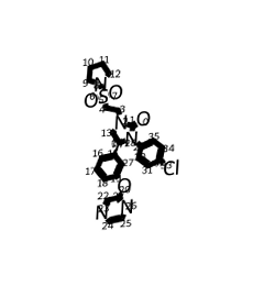 O=C1N(CCS(=O)(=O)N2CCCC2)C[C@H](c2cccc(Oc3cnccn3)c2)N1c1ccc(Cl)cc1